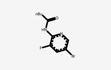 CCCCC(=O)Nc1ncc(Br)cc1F